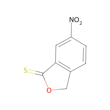 O=[N+]([O-])c1ccc2c(c1)C(=S)OC2